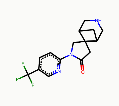 O=C1CC2(CN1c1ccc(C(F)(F)F)cn1)C1CNCC2C1